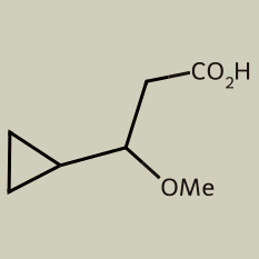 COC(CC(=O)O)C1CC1